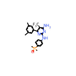 Cc1cc(C)cc(-c2nc(Nc3ccc(P(C)(C)=O)cc3)nc(N)c2C(F)(F)F)c1